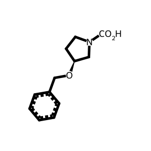 O=C(O)N1CC[C@H](OCc2ccccc2)C1